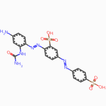 NC(=O)Nc1cc(N)ccc1N=Nc1ccc(N=Nc2ccc(S(=O)(=O)O)cc2)cc1S(=O)(=O)O